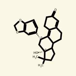 CC1(C)CCC2C3CCC4=CC(=O)CCC4=C3[C@@H](c3ccc4c(c3)OCO4)C[C@@]21O